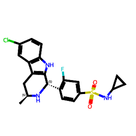 C[C@H]1Cc2c([nH]c3ccc(Cl)cc23)[C@H](c2ccc(S(=O)(=O)NC3CC3)cc2F)N1